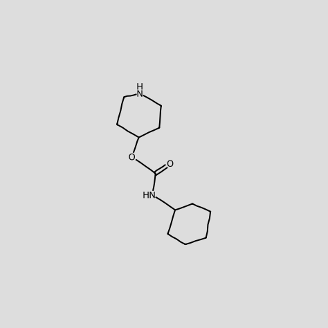 O=C(NC1CCCCC1)OC1CCNCC1